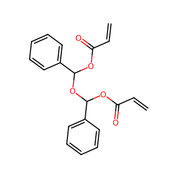 C=CC(=O)OC(OC(OC(=O)C=C)c1ccccc1)c1ccccc1